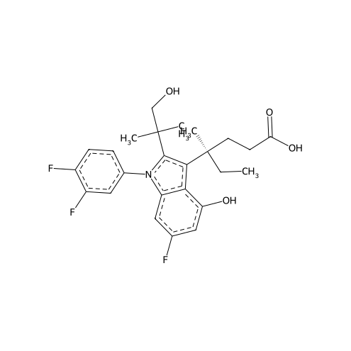 CC[C@](C)(CCC(=O)O)c1c(C(C)(C)CO)n(-c2ccc(F)c(F)c2)c2cc(F)cc(O)c12